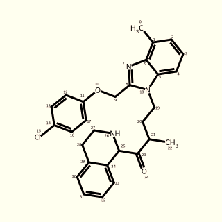 Cc1cccc2c1nc(COc1ccc(Cl)cc1)n2CCC(C)C(=O)C1NCCc2ccccc21